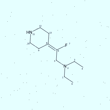 CCN(CC)CC(F)=C1CCNCC1